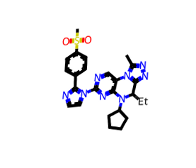 CCC1c2nnc(C)n2-c2cnc(-n3ccnc3-c3ccc(S(C)(=O)=O)cc3)nc2N1C1CCCC1